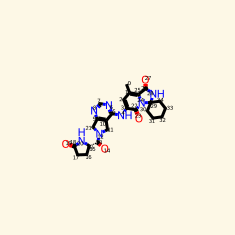 Cc1cc(Nc2ncnc3c2CN(C(=O)[C@@H]2CCC(=O)N2)C3)c(=O)n2c1C(=O)NC21CCCCC1